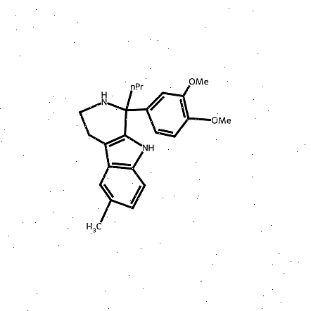 CCCC1(c2ccc(OC)c(OC)c2)NCCc2c1[nH]c1ccc(C)cc21